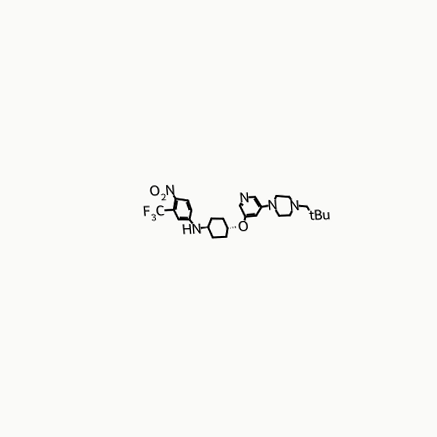 CC(C)(C)CN1CCN(c2cncc(O[C@H]3CC[C@H](Nc4ccc([N+](=O)[O-])c(C(F)(F)F)c4)CC3)c2)CC1